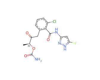 C[C@H](OC(N)=O)C(=O)Cc1cccc(Cl)c1C(=O)Nc1cc(F)[nH]n1